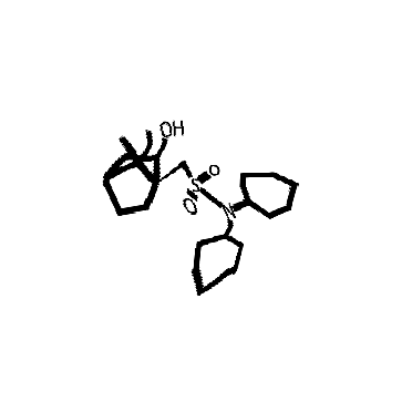 CC1(C)C2CC[C@@]1(CS(=O)(=O)N(C1CCCCC1)C1CCCCC1)C(O)C2